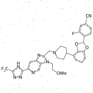 COCCn1c(CN2CCC(c3cccc4c3OC(c3ccc(C#N)cc3F)O4)CC2)nc2cc(-c3nnc(C(F)(F)F)[nH]3)ncc21